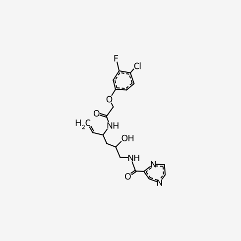 C=CC(CC(O)CNC(=O)c1cnccn1)NC(=O)COc1ccc(Cl)c(F)c1